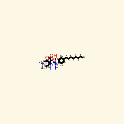 CCCCCCCCc1ccc(NC(=O)NC2(CC(=O)O)CC[N+](C)(C)CC2)cc1